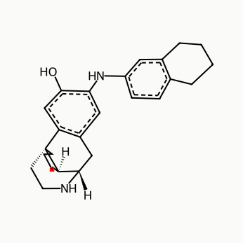 Oc1cc2c(cc1Nc1ccc3c(c1)CCCC3)C[C@@H]1NCC[C@]23CCCC[C@H]13